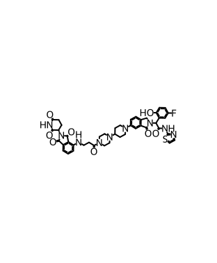 O=C1CCC(N2C(=O)c3cccc(NCCC(=O)N4CCN(C5CCN(c6ccc7c(c6)C(=O)N(C(C(=O)Nc6nccs6)c6cc(F)ccc6O)C7)CC5)CC4)c3C2=O)C(=O)N1